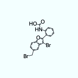 O=C(O)Nc1ccccc1-c1oc2ccc(CBr)cc2c1Br